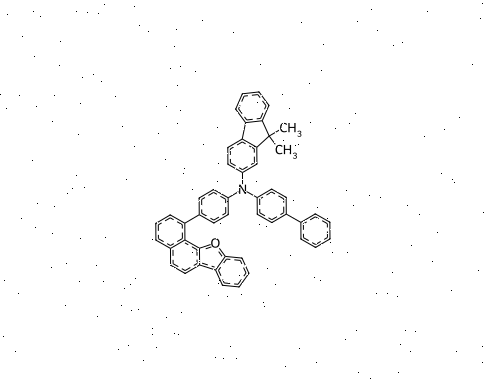 CC1(C)c2ccccc2-c2ccc(N(c3ccc(-c4ccccc4)cc3)c3ccc(-c4cccc5ccc6c7ccccc7oc6c45)cc3)cc21